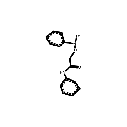 CCN(OCC(=O)Nc1ccccc1)c1ccccc1